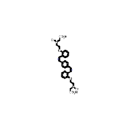 CCN(CCOc1ccccc1/C=C\c1ccc(/C=C\c2ccccc2OCCN(CC)CC(=O)O)cc1)CC(=O)O